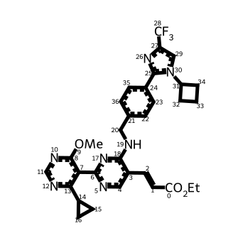 CCOC(=O)/C=C/c1cnc(-c2c(OC)ncnc2C2CC2)nc1NCc1ccc(-c2nc(C(F)(F)F)cn2C2CCC2)cc1